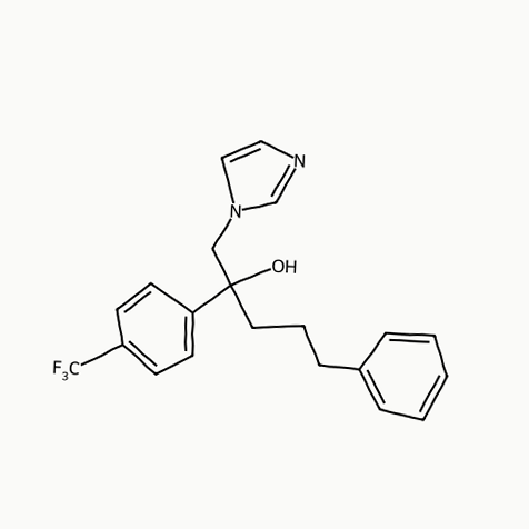 OC(CCCc1ccccc1)(Cn1ccnc1)c1ccc(C(F)(F)F)cc1